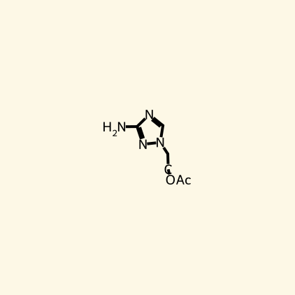 CC(=O)OCCn1cnc(N)n1